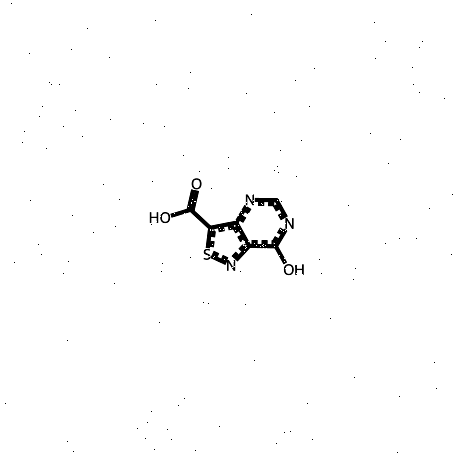 O=C(O)c1snc2c(O)ncnc12